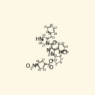 Cl.O=C(O[C@@H]1CCCC[C@@H]1n1cnc(C(=O)N2CCNC[C@H]2Cc2ccccc2)c1-c1ccccc1)c1ccc([N+](=O)[O-])cc1